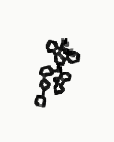 CC1(C)c2ccccc2-c2cc(N(c3cccc(-c4ccc(-c5ccccc5)cc4)c3)c3cccc4c3oc3ccccc34)cc(-c3ccccc3)c21